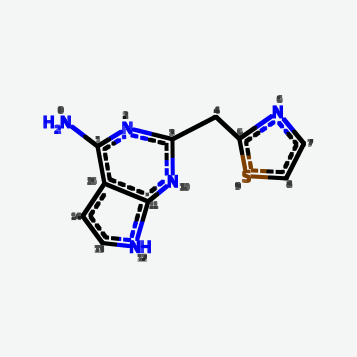 Nc1nc(Cc2nccs2)nc2[nH]ccc12